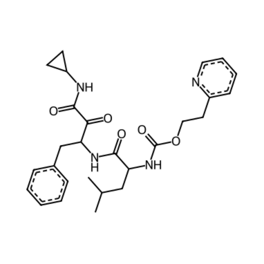 CC(C)CC(NC(=O)OCCc1ccccn1)C(=O)NC(Cc1ccccc1)C(=O)C(=O)NC1CC1